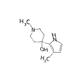 Cc1cc[nH]c1C1(O)CCN(C)CC1